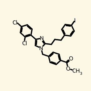 COC(=O)c1ccc(Cn2cc(-c3ccc(Cl)cc3Cl)nc2CCCc2ccc(I)cc2)cc1